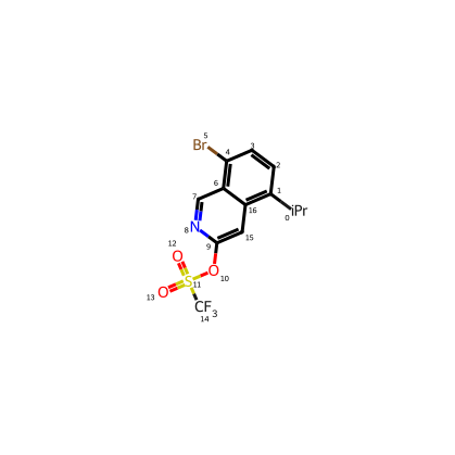 CC(C)c1ccc(Br)c2cnc(OS(=O)(=O)C(F)(F)F)cc12